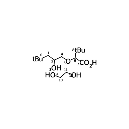 CC(C)(C)CC(O)COC(C(=O)O)C(C)(C)C.OCCO